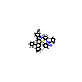 CC(C)(C)c1ccc2c3cc4c(-c5ccccc5)c5ccccc5cc4c4c3n(c2c1)-c1cccc2c1[SH]4c1cccc3c1N2C(c1ccccc1)N3